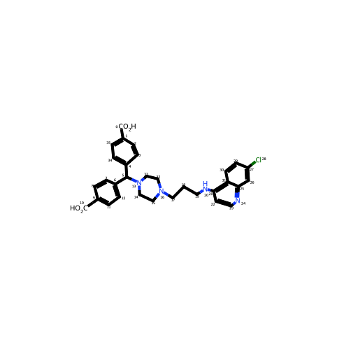 O=C(O)c1ccc(C(c2ccc(C(=O)O)cc2)N2CCN(CCCNc3ccnc4cc(Cl)ccc34)CC2)cc1